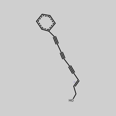 OC/C=C/C#CC#CC#Cc1ccccc1